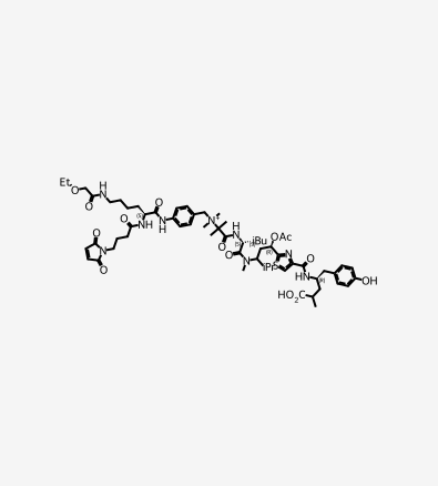 CCOCC(=O)NCCCC[C@H](NC(=O)CCCN1C(=O)C=CC1=O)C(=O)Nc1ccc(C[N+](C)(C)C(C)(C)C(=O)N[C@H](C(=O)N(C)C(C[C@@H](OC(C)=O)c2nc(C(=O)N[C@@H](Cc3ccc(O)cc3)CC(C)C(=O)O)cs2)C(C)C)[C@@H](C)CC)cc1